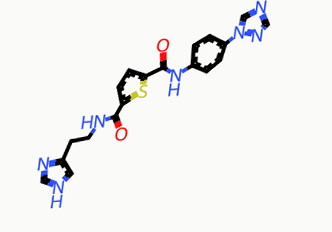 O=C(NCCc1c[nH]cn1)c1ccc(C(=O)Nc2ccc(-n3cncn3)cc2)s1